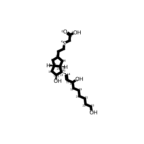 O=C(O)CSCCC1C[C@H]2C[C@H](O)[C@@H](C=CC(O)CCCCCCO)[C@@H]2C1